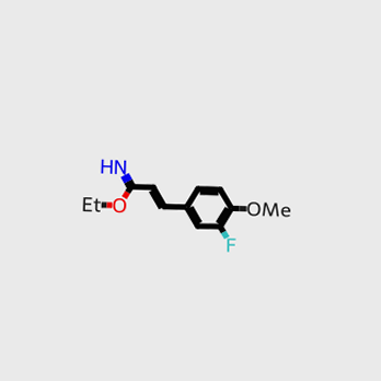 CCOC(=N)/C=C/c1ccc(OC)c(F)c1